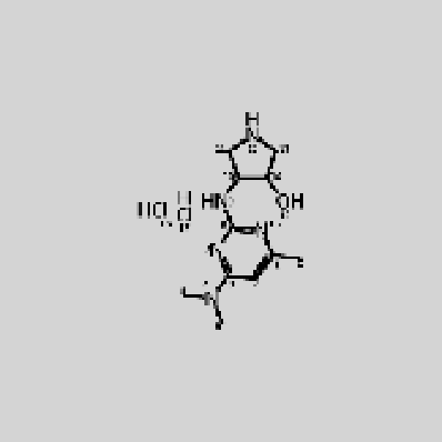 Cc1cc(N(C)C)nc(NC2CNCC2O)n1.Cl.Cl